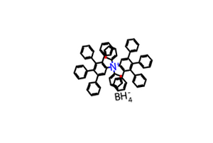 [BH4-].c1ccc(-c2cc([N+](c3ccccc3)(c3ccccc3)c3cc(-c4ccccc4)c(-c4ccccc4)c(-c4ccccc4)c3-c3ccccc3)c(-c3ccccc3)c(-c3ccccc3)c2-c2ccccc2)cc1